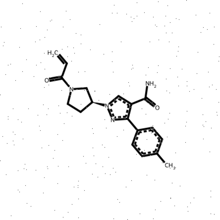 C=CC(=O)N1CC[C@H](n2cc(C(N)=O)c(-c3ccc(C)cc3)n2)C1